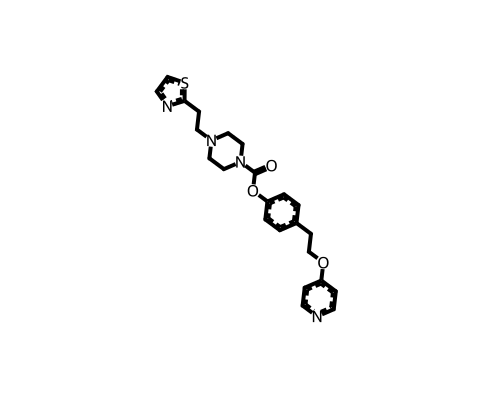 O=C(Oc1ccc(CCOc2ccncc2)cc1)N1CCN(CCc2nccs2)CC1